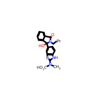 CC(C)CN1C(=O)c2ccccc2C1(O)c1ccc2[nH]c(N(C)C(=O)O)nc2c1